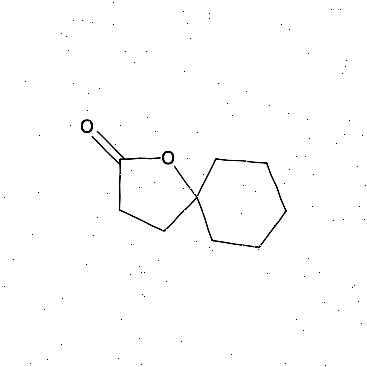 O=C1CCC2(CCCCC2)O1